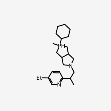 CCc1ccc(C(C)CN2CC3C[PH](C)(C4CCCCC4)CC3C2)nc1